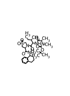 CCC(C)C(NC(=O)C(C)N(C)C(=O)OC(C)(C)C)C(=O)N1CS(=O)(=O)CC1C(=O)NC1CCCc2ccccc21